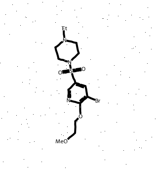 CCN1CCN(S(=O)(=O)c2cnc(OCCOC)c(Br)c2)CC1